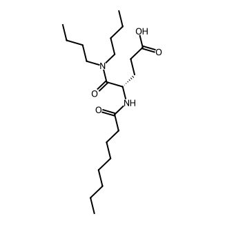 CCCCCCCC(=O)N[C@@H](CCC(=O)O)C(=O)N(CCCC)CCCC